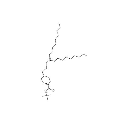 CCCCCCCCCN(CCCCCCCCC)CCCC1CCN(C(=O)OC(C)(C)C)CC1